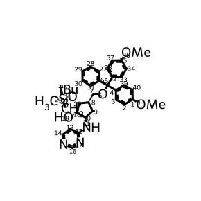 COc1ccc(C(OC[C@H]2C[C@@H](Nc3ccncn3)[C@H](O)[C@@H]2O[Si](C)(C)C(C)(C)C)(c2ccccc2)c2ccc(OC)cc2)cc1